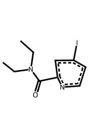 CCN(CC)C(=O)c1cc(I)ccn1